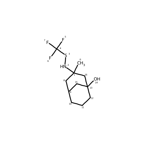 CC1(NSC(F)(F)F)CC2CCCC(O)(C2)C1